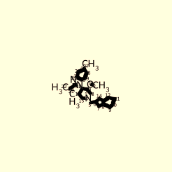 CO[C@@H]1CN(CC2Cc3c[c]ccc3C2)CCC1n1c(C(C)C)nc2cc(C)ccc21